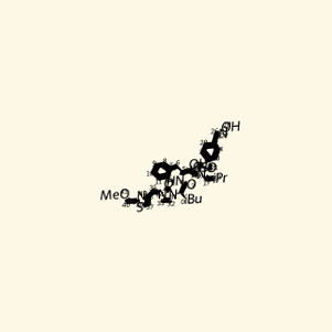 CC[C@H](C)[C@@H](C(=O)N[C@@H](Cc1ccccc1)[C@@H](O)CN(CC(C)C)S(=O)(=O)c1ccc(C=NO)cc1)N1CCN(Cc2csc(COC)n2)C1=O